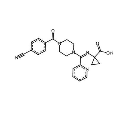 N#Cc1ccc(C(=O)N2CCN(/C(=N/C3(C(=O)O)CC3)c3ccccn3)CC2)cc1